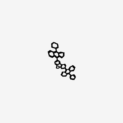 c1ccc(-c2c3ccccc3c(-c3ccc4c(c3)oc3ccc(-c5c6ccccc6c(C6CCCCC6)c6ccccc56)cc34)c3ccccc23)cc1